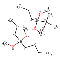 CCCC[Si](CCC)(OC)OC.CCC[Si](OC)(OC)C(C)(C)C